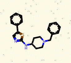 c1ccc(CN2CCC(Nc3ncc(-c4ccccc4)s3)CC2)cc1